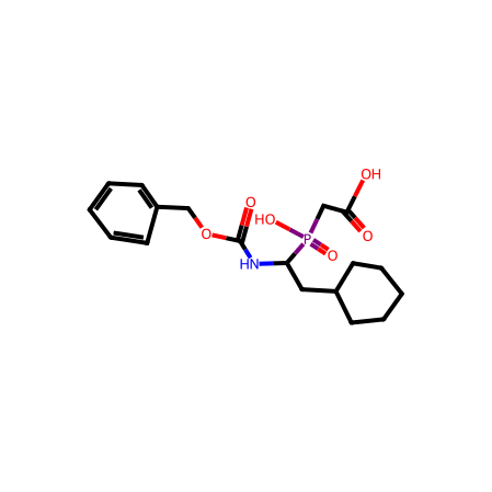 O=C(O)CP(=O)(O)C(CC1CCCCC1)NC(=O)OCc1ccccc1